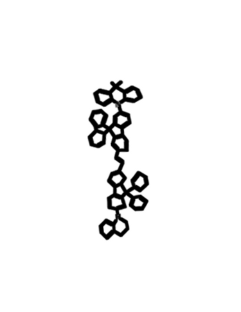 CC1C=CC=CC1C1(c2ccccc2)c2cc(/C=C/C3=CC=C4c5ccc(N6CCCc7ccccc76)cc5C(c5ccccc5)(c5ccccc5)C4C3)ccc2-c2ccc(N3c4ccccc4C(C)(C)c4ccccc43)cc21